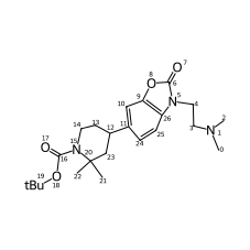 CN(C)CCn1c(=O)oc2cc(C3CCN(C(=O)OC(C)(C)C)C(C)(C)C3)ccc21